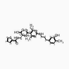 Cc1ccc(CCCNc2nc(C)c(C(=O)N[C@@H](CNC(=O)c3cccs3)C(=O)O)c(C)n2)cc1O